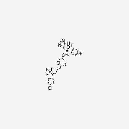 C[C@@H](S[C@H]1CO[C@H](C=CC=C(c2ccc(Cl)cc2)C(F)(F)F)OC1)[C@](O)(Cn1cncn1)c1ccc(F)cc1F